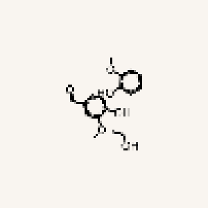 CCO.COc1cc(C=O)ccc1O.COc1ccccc1O